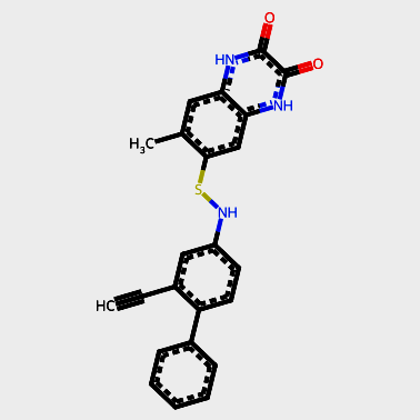 C#Cc1cc(NSc2cc3[nH]c(=O)c(=O)[nH]c3cc2C)ccc1-c1ccccc1